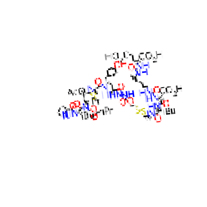 CCCC(=O)OCN(C(=O)[C@@H](NC(=O)[C@H]1CCCCN1C)C(C)CC)[C@H](C[C@@H](OC(C)=O)c1nc(C(=O)N[C@@H](Cc2ccc(O)cc2)C[C@H](C)C(=O)NNC(=O)OCCSSC[C@@H](C)NC(=O)[C@@H](NC(=O)[C@H](CC(=O)O)NC(=O)NCCCC[C@@H](C)NC(=O)N[C@@H](CCC(=O)O)C(=O)O)C(C)CC)cs1)C(C)C